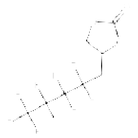 O=C1OCC(CC(F)(F)C(F)(F)C(F)(F)C(F)(F)F)O1